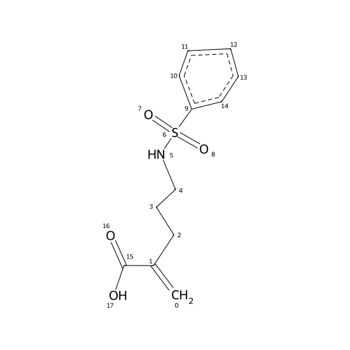 C=C(CCCNS(=O)(=O)c1ccccc1)C(=O)O